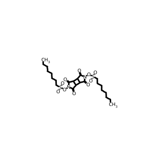 CCCCCCCCS(=O)(=O)ON1C(=O)C2C(C1=O)C1C(=O)N(OS(=O)(=O)CCCCCCCC)C(=O)C21